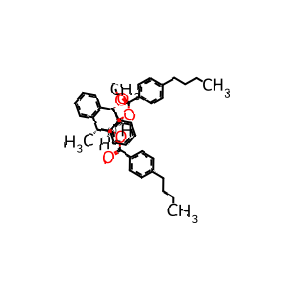 CCCCc1ccc(C(=O)O[C@@H]2[C@H](OC(=O)c3ccc(CCCC)cc3)[C@]3(OC)c4ccccc4[C@@]2(C)c2ccccc23)cc1